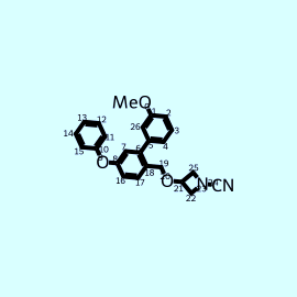 COc1cccc(-c2cc(Oc3ccccc3)ccc2COC2CN(C#N)C2)c1